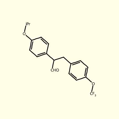 CC(C)Oc1ccc(C(C=O)Cc2ccc(OC(F)(F)F)cc2)cc1